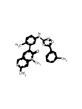 Cc1cccc(-c2nc(Nc3ccc(C)c(-c4cc5cnc(C)cc5n(C)c4=O)c3)no2)c1